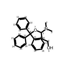 CN(C)C(CCO)OC(c1ccccc1)(c1ccccc1)c1ccccc1